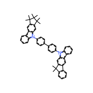 CC1(C)c2ccccc2-c2cc3c4ccccc4n(-c4ccc(-c5ccc(-n6c7ccccc7c7cc8c(cc76)C(C)(C)C(C)(C)C8(C)C)cc5)cc4)c3cc21